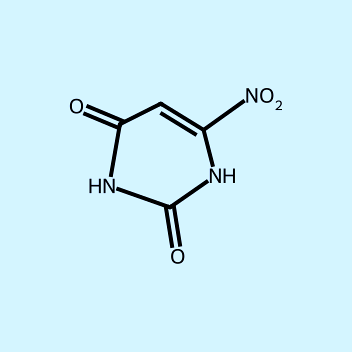 O=c1cc([N+](=O)[O-])[nH]c(=O)[nH]1